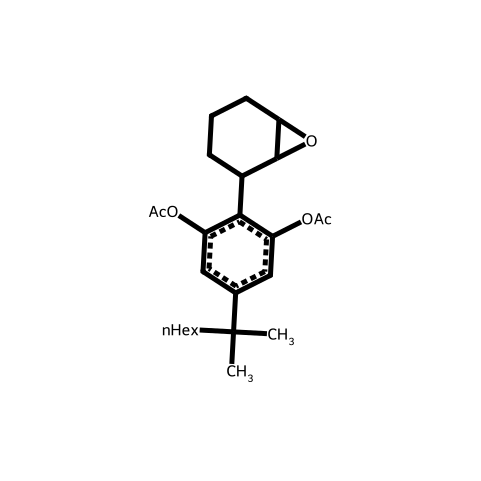 CCCCCCC(C)(C)c1cc(OC(C)=O)c(C2CCCC3OC32)c(OC(C)=O)c1